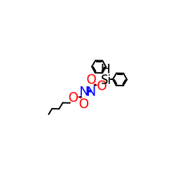 CCCCCOC(=O)N=NC(=O)O[SiH](c1ccccc1)c1ccccc1